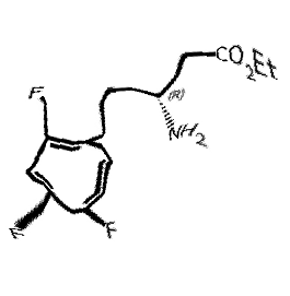 CCOC(=O)C[C@H](N)Cc1cc(F)c(F)cc1F